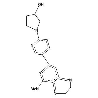 CNc1nc(-c2ccc(N3CCC(O)C3)nc2)cc2c1=NCCN=2